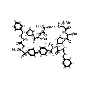 CN[C@@H](C)C(=O)N[C@H](C(=O)N1CCC[C@H]1CN(CCc1ccccc1)C(=O)CN(C)C(=O)c1ccc(-c2ccc(C(=O)N(C)CC(=O)N(CCc3ccccc3)C[C@@H]3CCCN3C(=O)[C@@H](NC(=O)[C@H](C)NC)C(C)(C)C)cc2)cc1)C(C)(C)C